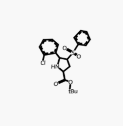 CC(C)(C)OC(=O)C1CC(S(=O)(=O)c2ccccc2)C(c2ccccc2Cl)N1